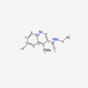 COc1c(C(=O)NCC(C)=O)cnc2ccc(I)cc12